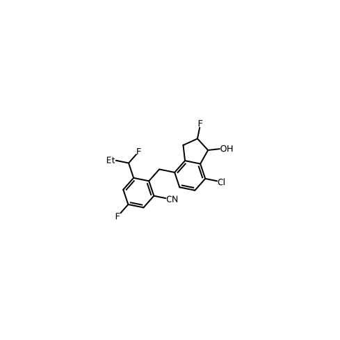 CCC(F)c1cc(F)cc(C#N)c1Cc1ccc(Cl)c2c1CC(F)C2O